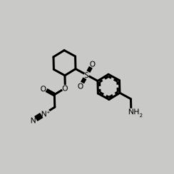 N#[N+]CC(=O)OC1CCCCC1S(=O)(=O)c1ccc(CN)cc1